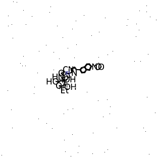 CC[C@H]1OC(O)[C@H](NS(=O)(=O)/C(C#N)=C(\C)c2ccc(-c3ccc4cc(N5CCOCC5)ccc4c3)n2C)[C@@H](O)[C@@H]1O